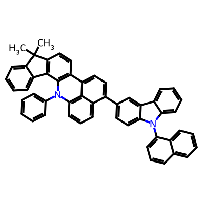 CC1(C)c2ccccc2-c2c1ccc1c2N(c2ccccc2)c2cccc3c(-c4ccc5c(c4)c4ccccc4n5-c4cccc5ccccc45)ccc-1c23